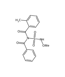 CONS(=O)(=O)N(C(=O)c1ccccc1)C(=O)c1ccccc1C